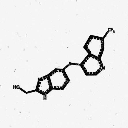 OCc1nc2cc(Sc3ccnc4cc(C(F)(F)F)ccc34)ccc2[nH]1